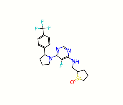 [O-][S+]1CCCC1CNc1ncnc(N2CCCC2c2ccc(C(F)(F)F)cc2)c1F